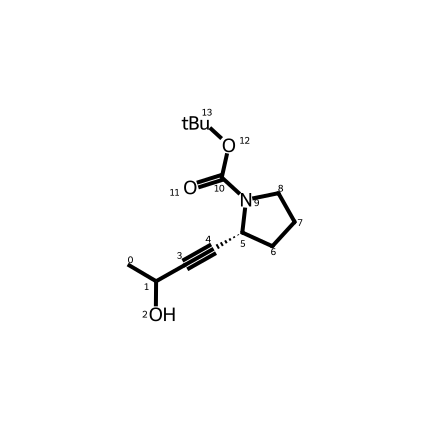 CC(O)C#C[C@H]1CCCN1C(=O)OC(C)(C)C